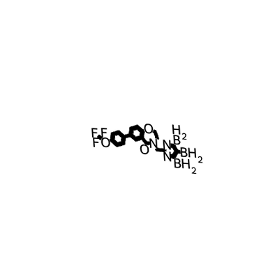 Bc1nc(CN2CCOc3ccc(-c4ccc(OC(F)(F)F)cc4)cc3C2=O)nc(B)c1B